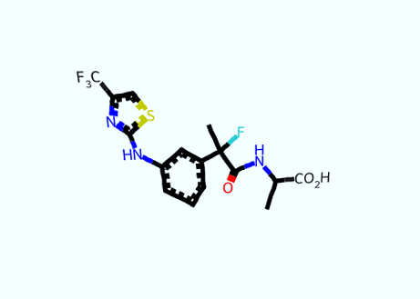 CC(NC(=O)C(C)(F)c1cccc(Nc2nc(C(F)(F)F)cs2)c1)C(=O)O